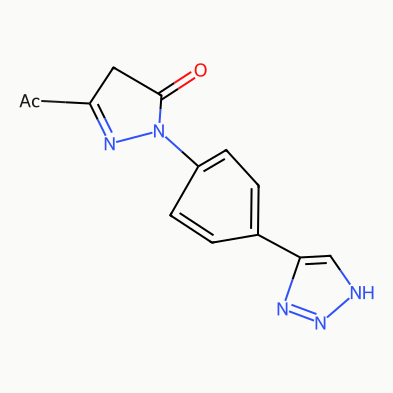 CC(=O)C1=NN(c2ccc(-c3c[nH]nn3)cc2)C(=O)C1